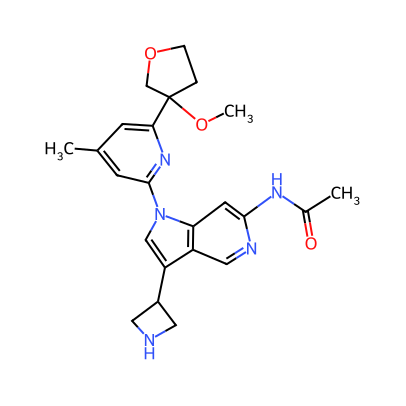 COC1(c2cc(C)cc(-n3cc(C4CNC4)c4cnc(NC(C)=O)cc43)n2)CCOC1